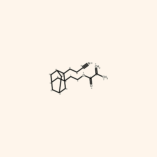 C=C(C)C(=O)OCCC12CC3CC(CC(C3)C1CCC#N)C2